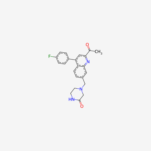 CC(=O)c1cc(-c2ccc(F)cc2)c2ccc(CN3CCNC(=O)C3)cc2n1